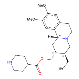 COc1cc2c(cc1OC)[C@H]1C[C@@H](COC(=O)C3CCNCC3)[C@H](CC(C)C)CN1CC2